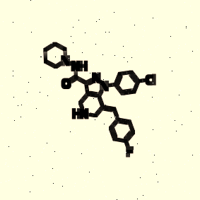 O=C(NN1CCCCC1)c1nn(-c2ccc(Cl)cc2)c2c1CNC/C2=C\c1ccc(F)cc1